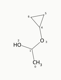 CC(O)OC1CC1